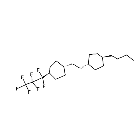 CCCC[C@H]1CC[C@H](CC[C@H]2CC[C@H](C(F)(F)C(F)(F)C(F)(F)F)CC2)CC1